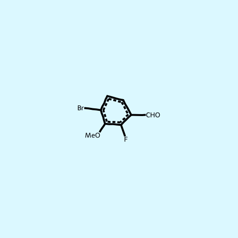 COc1c(Br)ccc(C=O)c1F